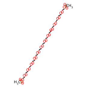 CS(=O)(=O)OCCOOCCOOCCOOCCOOCCOOCCOOCCOOCCOOCCOOCCOOCCOOCCOOCCOS(C)(=O)=O